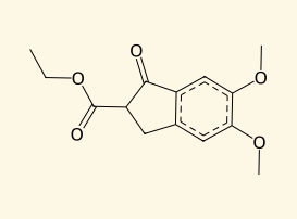 CCOC(=O)C1Cc2cc(OC)c(OC)cc2C1=O